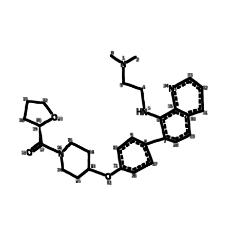 CN(C)CCNc1c(-c2ccc(OC3CCN(C(=O)[C@H]4CCCO4)CC3)cc2)ccc2cccnc12